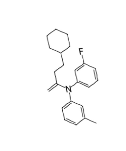 C=C(CCC1CCCCC1)N(c1cccc(C)c1)c1cccc(F)c1